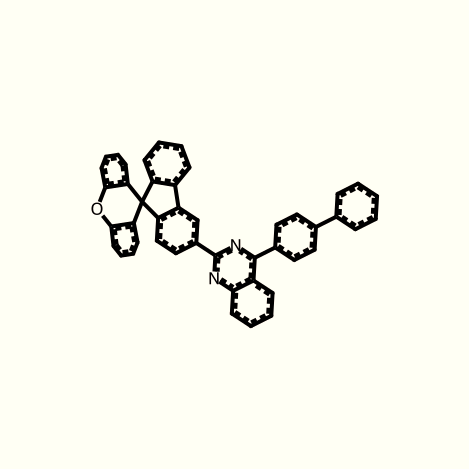 c1ccc(-c2ccc(-c3nc(-c4ccc5c(c4)-c4ccccc4C54c5ccccc5Oc5ccccc54)nc4ccccc34)cc2)cc1